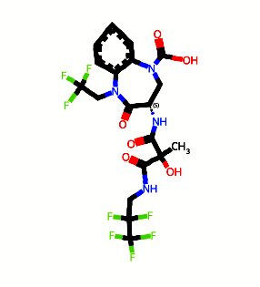 CC(O)(C(=O)NCC(F)(F)C(F)(F)F)C(=O)N[C@H]1CN(C(=O)O)c2ccccc2N(CC(F)(F)F)C1=O